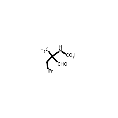 CC(C)CC(C)(C=O)NC(=O)O